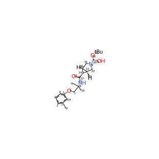 Cc1cccc(OCC(C)(C)NC(=O)[C@H]2[C@@H]3CN(C(O)OC(C)(C)C)C[C@@H]32)c1